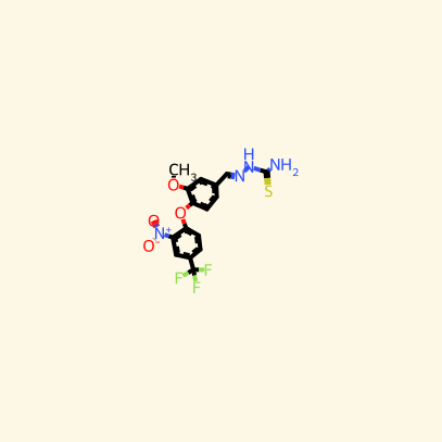 COc1cc(C=NNC(N)=S)ccc1Oc1ccc(C(F)(F)F)cc1[N+](=O)[O-]